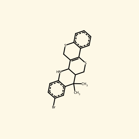 CC1(C)c2cc(Br)ccc2NC2C3=C(SCC21)c1ccccc1SC3